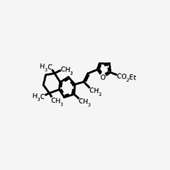 CCOC(=O)c1ccc(C=C(C)c2cc3c(cc2C)C(C)(C)CCC3(C)C)o1